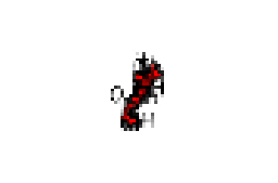 CN(CCCSc1cccc2c1CN(C1CCC(=O)NC1=O)C2=O)CCCN1CCC(CNc2ccc(S(=O)(=O)NC(=O)c3ccc(N4CCN(CC5=C(c6ccc(Cl)cc6)CC(C)(C)CC5)CC4)cc3Oc3cnc4[nH]ccc4c3)cc2[N+](=O)[O-])CC1